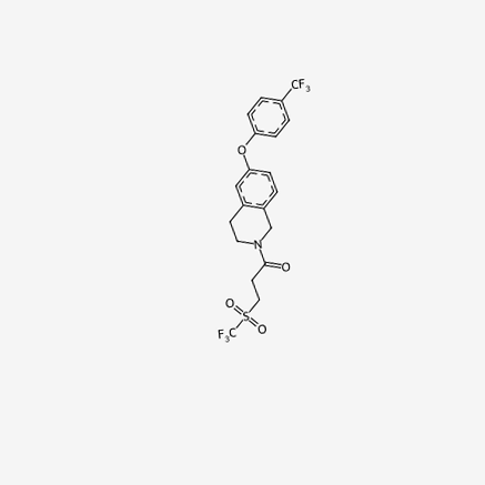 O=C(CCS(=O)(=O)C(F)(F)F)N1CCc2cc(Oc3ccc(C(F)(F)F)cc3)ccc2C1